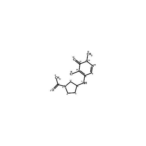 CC(=O)N1CCC(Nc2cnn(C)c(=O)c2Cl)C1